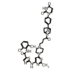 Cc1nc(Nc2ncc(C(=O)Nc3c(C)cccc3Cl)s2)cc(N2CCN(CCCC(=O)N3CC4CCC3CN4c3ccc(-n4ccc(=O)[nH]c4=O)cc3)CC2)n1